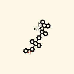 CC1(C)c2cc(-c3ccc(-c4c5ccccc5c(-c5ccc6oc7ccccc7c6c5)c5ccccc45)cc3)c3ccccc3c2-c2c1c1ccccc1c1ccccc21